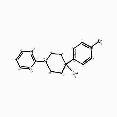 OC1(c2ccc(Br)cc2)CCN(c2ncccn2)CC1